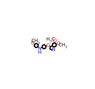 COc1ccc(Nc2ccc(Oc3ccnc4cc(OC)c(OC)cc34)cc2)cc1